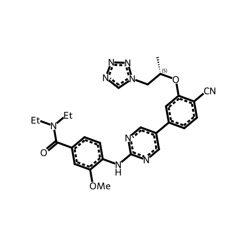 CCN(CC)C(=O)c1ccc(Nc2ncc(-c3ccc(C#N)c(O[C@@H](C)Cn4cnnn4)c3)cn2)c(OC)c1